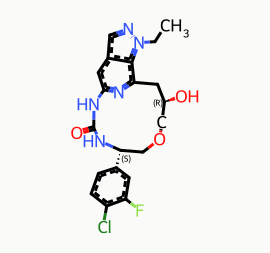 CCn1ncc2cc3nc(c21)C[C@@H](O)COC[C@H](c1ccc(Cl)c(F)c1)NC(=O)N3